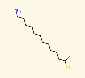 NCCCCCCCCCCCC(S)I